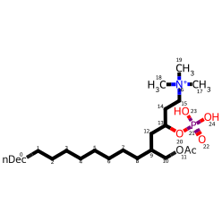 CCCCCCCCCCCCCCCCCCC(COC(C)=O)CC(CC[N+](C)(C)C)OP(=O)(O)O